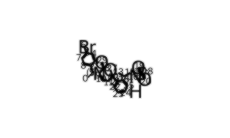 C[C@@H](c1ccc(Br)cc1)N1CC[C@](CCCNS(C)(=O)=O)(c2ccccc2)OC1=O